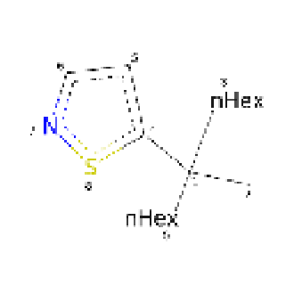 CCCCCCC(C)(CCCCCC)c1ccns1